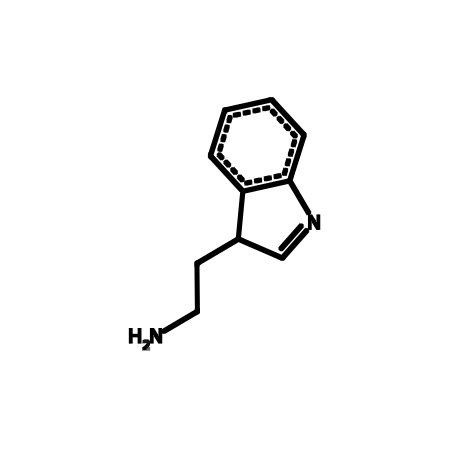 NCCC1C=Nc2ccccc21